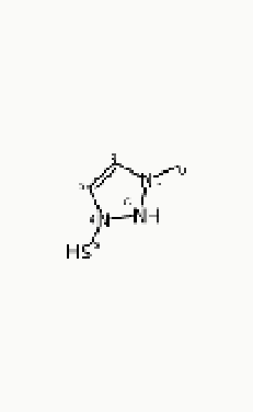 CN1C=CN(S)N1